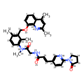 Cc1cc(C)c2cccc(OCc3c(C)ccc(N(C)C(=O)CNC(=O)C=Cc4ccc(N5CCCC5=O)nc4)c3C)c2n1